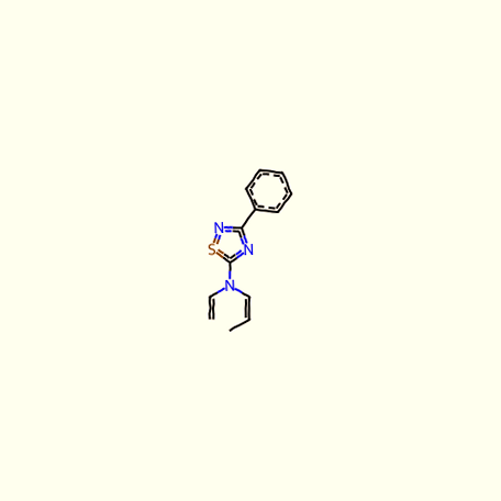 C=CN(/C=C\C)c1nc(-c2ccccc2)ns1